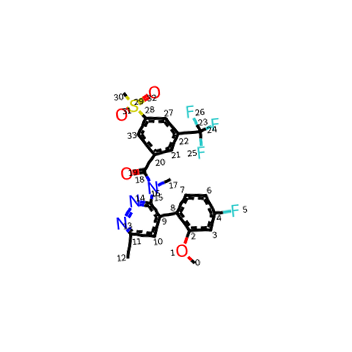 COc1cc(F)ccc1-c1cc(C)nnc1N(C)C(=O)c1cc(C(F)(F)F)cc(S(C)(=O)=O)c1